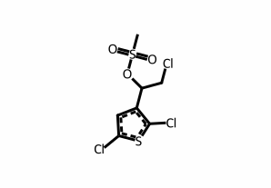 CS(=O)(=O)OC(CCl)c1cc(Cl)sc1Cl